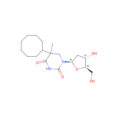 O=C1NC(=O)C(I)(C2CCCCCCC2)CN1[C@H]1C[C@H](O)[C@@H](CO)O1